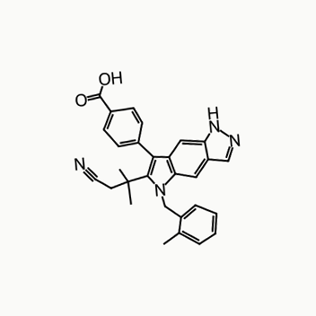 Cc1ccccc1Cn1c(C(C)(C)CC#N)c(-c2ccc(C(=O)O)cc2)c2cc3[nH]ncc3cc21